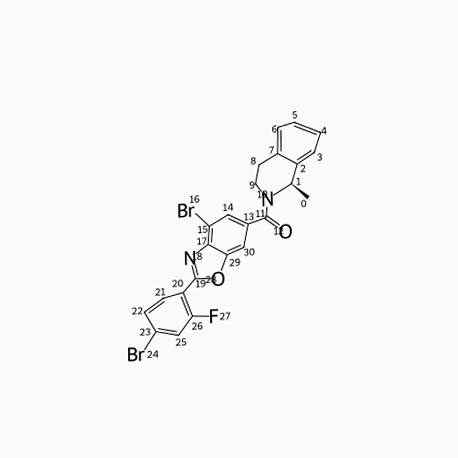 C[C@@H]1c2ccccc2CCN1C(=O)c1cc(Br)c2nc(-c3ccc(Br)cc3F)oc2c1